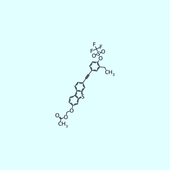 CCc1cc(C#Cc2ccc3c(c2)sc2cc(OCOC(C)=O)ccc23)ccc1OS(=O)(=O)C(F)(F)F